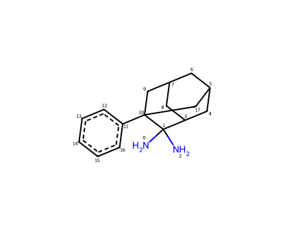 NC1(N)C2CC3CC(C2)CC1(c1ccccc1)C3